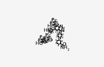 NC(=O)c1cccc(N2CCN(c3ncnc4ccc(-c5cn[nH]c5)cc34)CC2)c1.O=C(O)C(F)(F)F.O=C(O)C(F)(F)F.O=C(O)C(F)(F)F